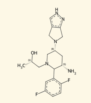 C[C@H](O)CN1C[C@H](N2Cc3c[nH]nc3C2)C[C@H](N)C1c1cc(F)ccc1F